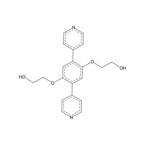 OCCOc1cc(-c2ccncc2)c(OCCO)cc1-c1ccncc1